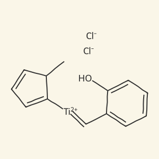 CC1C=CC=[C]1[Ti+2]=[CH]c1ccccc1O.[Cl-].[Cl-]